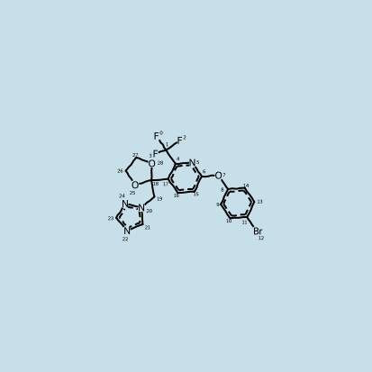 FC(F)(F)c1nc(Oc2ccc(Br)cc2)ccc1C1(Cn2cncn2)OCCO1